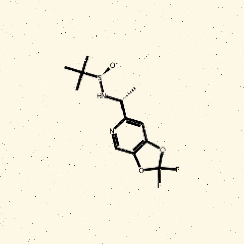 C[C@@H](N[S@+]([O-])C(C)(C)C)c1cc2c(cn1)OC(F)(F)O2